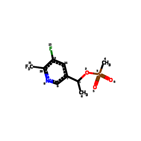 CC(OS(C)(=O)=O)c1cnc(C(F)(F)F)c(F)c1